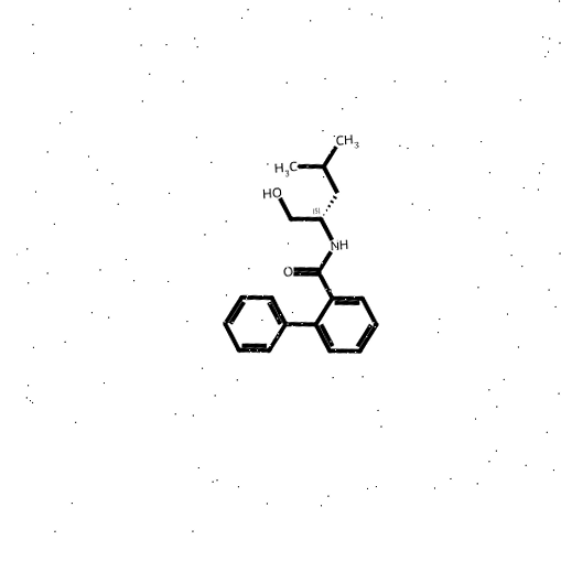 CC(C)C[C@@H](CO)NC(=O)c1ccccc1-c1ccccc1